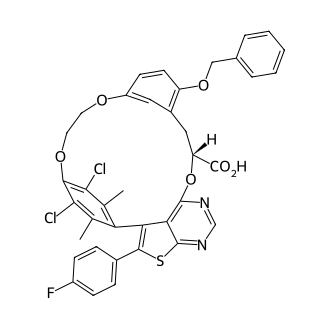 Cc1c(Cl)c2c(Cl)c(C)c1-c1c(-c3ccc(F)cc3)sc3ncnc(c13)O[C@@H](C(=O)O)Cc1cc(ccc1OCc1ccccc1)OCCO2